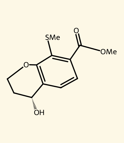 COC(=O)c1ccc2c(c1SC)OCC[C@H]2O